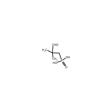 CC(C)(C=O)CP(=O)(O)O